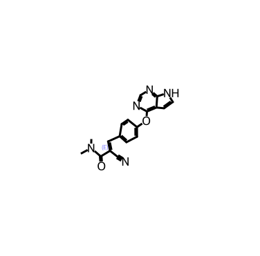 CN(C)C(=O)/C(C#N)=C/c1ccc(Oc2ncnc3[nH]ccc23)cc1